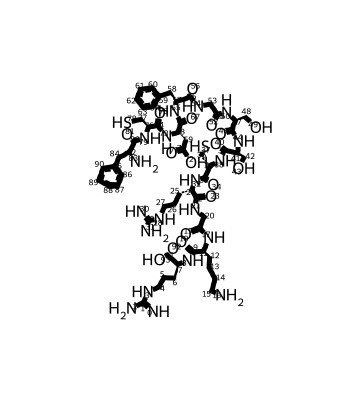 N=C(N)NCCC[C@H](NC(=O)[C@H](CCCCN)NC(=O)CNC(=O)[C@H](CCCNC(=N)N)NC(=O)[C@H](CS)NC(=O)[C@H](CO)NC(=O)[C@H](CO)NC(=O)CNC(=O)[C@H](Cc1ccccc1)NC(=O)[C@H](CC(=O)O)NC(=O)[C@H](CS)NC(=O)[C@@H](N)Cc1ccccc1)C(=O)O